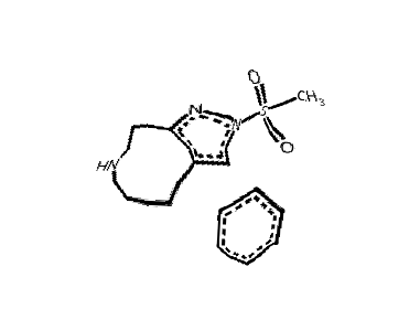 CS(=O)(=O)n1cc2c(n1)CNCC2.c1ccccc1